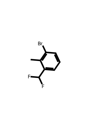 Cc1c(Br)cccc1C(F)F